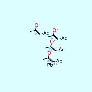 CC(=O)/C=C(/C)[O-].CC(=O)/C=C(/C)[O-].CC(=O)/C=C(/C)[O-].CC(=O)/C=C(/C)[O-].[Pb+4]